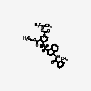 CCOC(=O)C1CN(C(=O)ON(C)C)CCC1NS(=O)(=O)c1ccc(NC(=O)c2ccccc2C)c2ccccc12